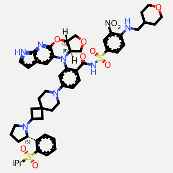 CC(C)S(=O)(=O)c1ccccc1[C@@H]1CCCN1C1CC2(CCN(c3ccc(C(=O)NS(=O)(=O)c4ccc(NCC5CCOCC5)c([N+](=O)[O-])c4)c(N4c5cc6cc[nH]c6nc5O[C@@H]5COC[C@H]54)c3)CC2)C1